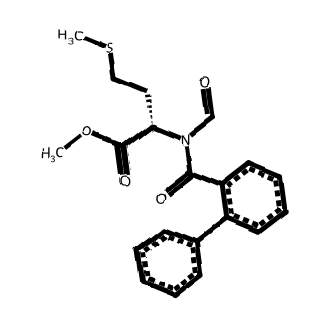 COC(=O)[C@H](CCSC)N(C=O)C(=O)c1ccccc1-c1ccccc1